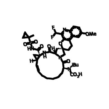 CC[C@@H](C)N(C(=O)O)[C@H]1CCCCC/C=C\[C@@H]2C[C@@]2(C(=O)NS(=O)(=O)C2(C)CC2)NC(=O)[C@@H]2C[C@]3(CCc4c(c(C(F)F)nc5ccc(OC)cc45)O3)CN2C1=O